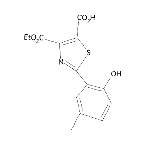 CCOC(=O)c1nc(-c2cc(C)ccc2O)sc1C(=O)O